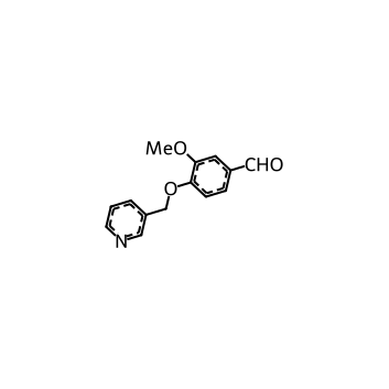 COc1cc(C=O)ccc1OCc1cccnc1